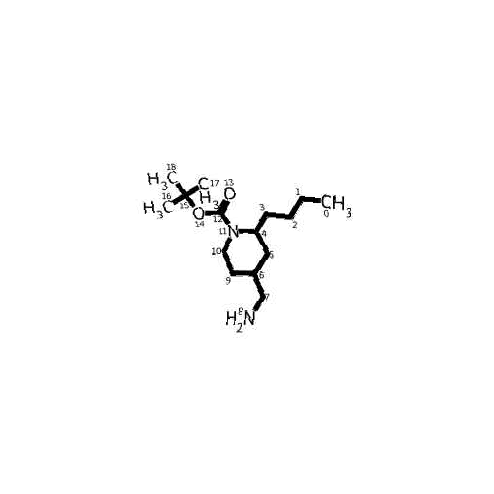 CCCCC1CC(CN)CCN1C(=O)OC(C)(C)C